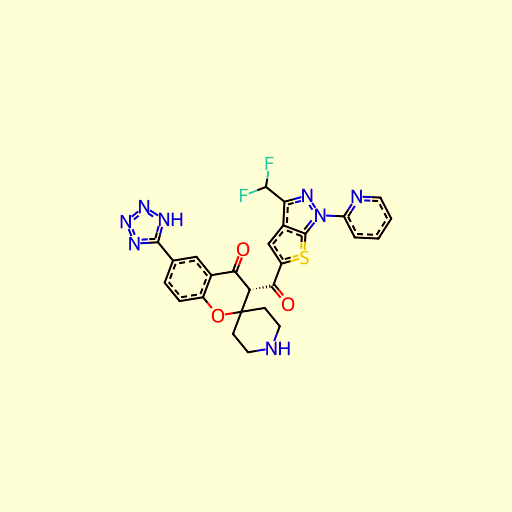 O=C(c1cc2c(C(F)F)nn(-c3ccccn3)c2s1)[C@H]1C(=O)c2cc(-c3nnn[nH]3)ccc2OC12CCNCC2